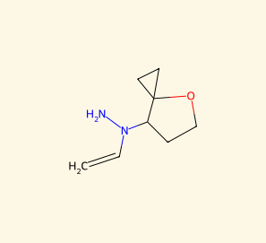 C=CN(N)C1CCOC12CC2